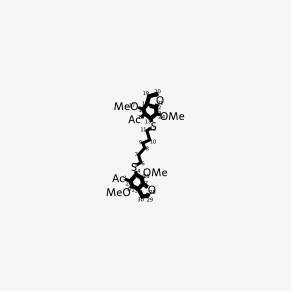 COc1c(C(C)=O)c(SCCCCCCSc2c(C(C)=O)c(OC)c3ccoc3c2OC)c(OC)c2occc12